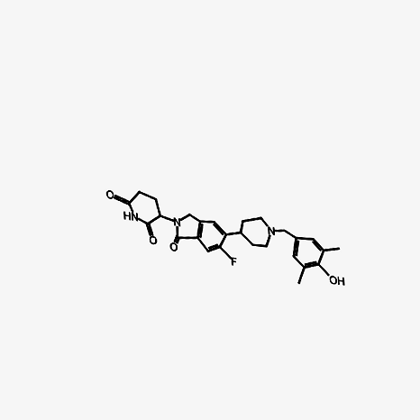 Cc1cc(CN2CCC(c3cc4c(cc3F)C(=O)N(C3CCC(=O)NC3=O)C4)CC2)cc(C)c1O